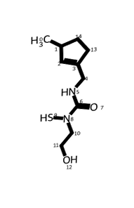 CC1C=C(CNC(=O)N(S)CCO)CC1